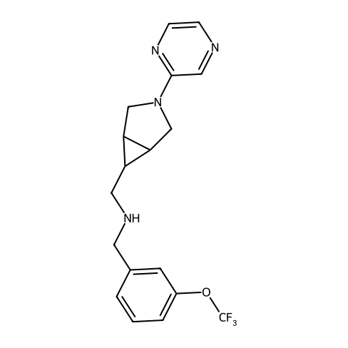 FC(F)(F)Oc1cccc(CNCC2C3CN(c4cnccn4)CC23)c1